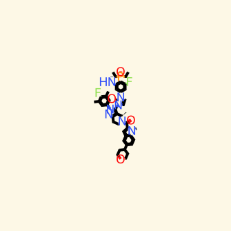 CCP(=O)(CC)c1c(F)cc(-n2ccn(-c3c4c(nn3-c3cc(C)c(F)c(C)c3)CCN(C(=O)c3cc5cc(C6CCOCC6)ccc5n3C)[C@H]4C)c2=O)cc1NC